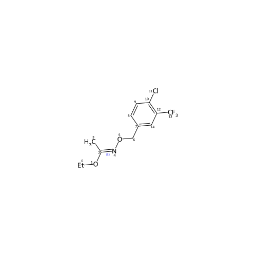 CCO/C(C)=N/OCc1ccc(Cl)c(C(F)(F)F)c1